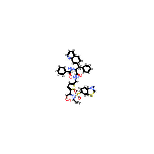 CC(C)CN(C(CO)c1ccc(CNC(=O)C(NC(=O)c2ccccc2)C(c2ccccc2)c2ccc3cccnc3c2)s1)S(=O)(=O)c1ccc2ncsc2c1